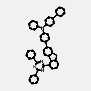 c1ccc(-c2ccc(N(c3ccccc3)c3ccc(-c4ccc5c(c4)Cc4cccc(-c6nc(-c7ccccc7)nc(-c7ccccc7)n6)c4-5)cc3)cc2)cc1